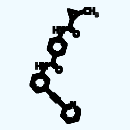 CC1CC1C(=O)Nc1ccc(C(=O)Nc2cccc(C#Cc3ccccn3)c2)cc1